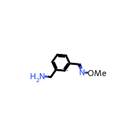 CON=Cc1[c]c(CN)ccc1